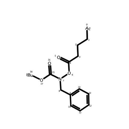 CC(=O)CCCC(=O)ON(Cc1ccccc1)C(=O)OC(C)(C)C